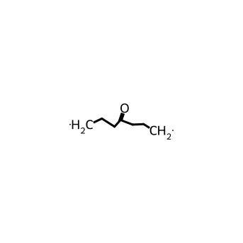 [CH2]CCC(=O)CC[CH2]